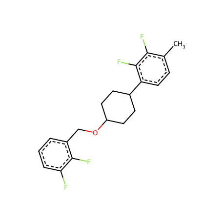 Cc1ccc(C2CCC(OCc3cccc(F)c3F)CC2)c(F)c1F